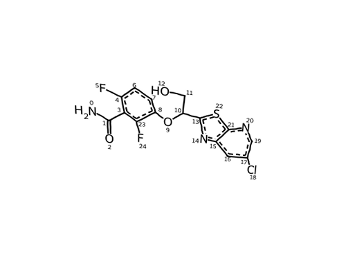 NC(=O)c1c(F)ccc(OC(CO)c2nc3cc(Cl)cnc3s2)c1F